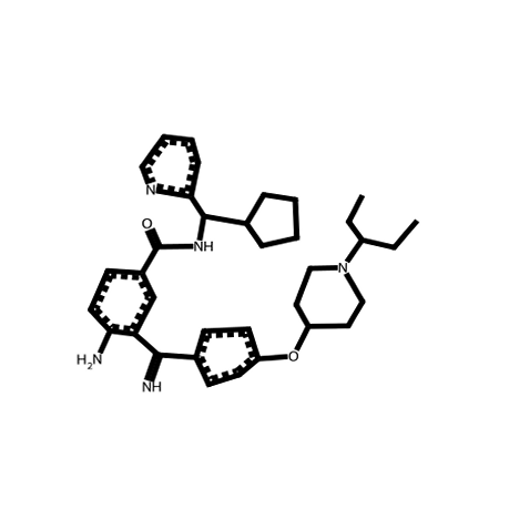 CCC(CC)N1CCC(Oc2ccc(C(=N)c3cc(C(=O)NC(c4ccccn4)C4CCCC4)ccc3N)cc2)CC1